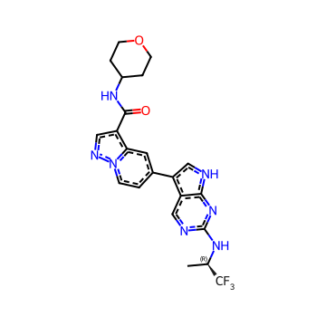 C[C@@H](Nc1ncc2c(-c3ccn4ncc(C(=O)NC5CCOCC5)c4c3)c[nH]c2n1)C(F)(F)F